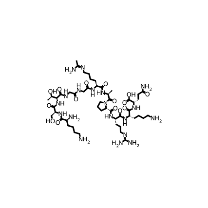 CC(N)=NCCCC[C@H](NC(=O)CNC(=O)CNC(=O)[C@@H](NC(=O)[C@H](CO)NC(=O)[C@@H](N)CCCCN)[C@@H](C)O)C(=O)N[C@@H](C)C(=O)N1CCC[C@H]1C(=O)N[C@@H](CCCN=C(N)N)C(=O)N[C@@H](CCCCN)C(=O)N[C@@H](CCC(N)=O)C(=O)O